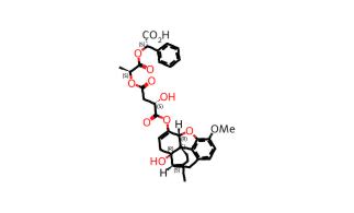 COc1ccc2c3c1O[C@H]1C(OC(=O)[C@@H](O)CC(=O)O[C@@H](C)C(=O)O[C@H](C(=O)O)c4ccccc4)=CC[C@@]4(O)[C@@H](C2)C(C)CC[C@]314